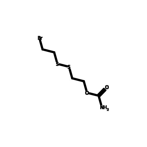 NC(=O)OCCSSCCBr